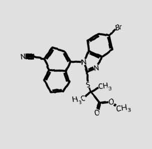 COC(=O)C(C)(C)Sc1nc2cc(Br)ccc2n1-c1ccc(C#N)c2ccccc12